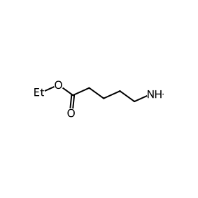 CCOC(=O)CCCC[NH]